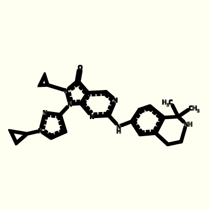 CC1(C)NCCc2cc(Nc3ncc4c(=O)n(C5CC5)n(-c5ccn(C6CC6)n5)c4n3)ccc21